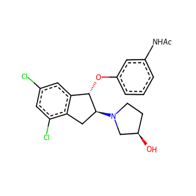 CC(=O)Nc1cccc(O[C@H]2c3cc(Cl)cc(Cl)c3C[C@@H]2N2CC[C@@H](O)C2)c1